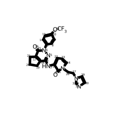 O=c1c(Nc2nn(-c3ccc(OC(F)(F)F)cc3)c(=O)c3c2CCC3)cccn1CCn1ccnc1